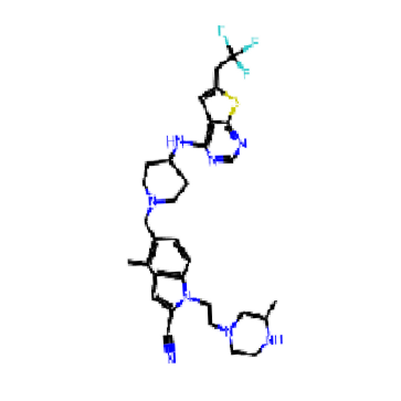 Cc1c(CN2CCC(Nc3ncnc4sc(CC(F)(F)F)cc34)CC2)ccc2c1cc(C#N)n2CCN1CCNC(C)C1